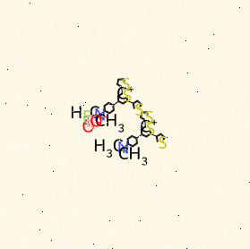 CN(C)c1ccc(-c2cc(-c3ccsc3)s[c+](-c3cccs3)c2)cc1.CN(C)c1ccc(-c2cc(-c3ccsc3)s[c+](-c3cccs3)c2)cc1.[O-]B([O-])F